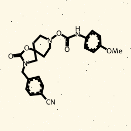 COc1ccc(NC(=O)ON2CCC3(CC2)CN(Cc2ccc(C#N)cc2)C(=O)O3)cc1